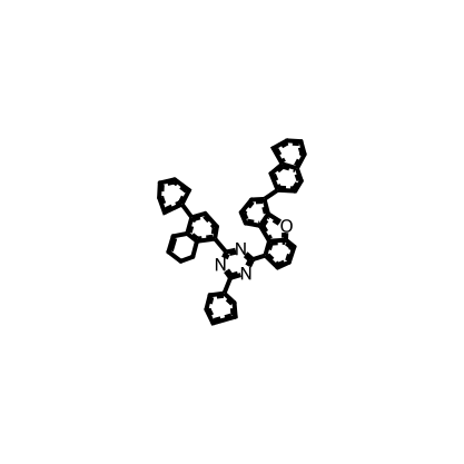 C1=Cc2c(-c3ccccc3)ccc(-c3nc(-c4ccccc4)nc(-c4cccc5oc6c(-c7ccc8ccccc8c7)cccc6c45)n3)c2CC1